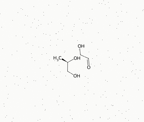 C[C@@H](O)CO.O=CCO